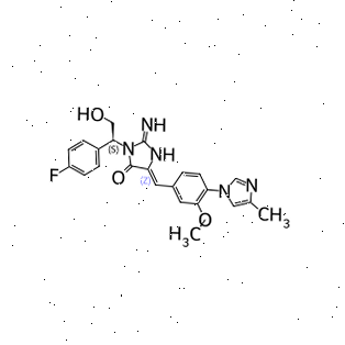 COc1cc(/C=C2\NC(=N)N([C@H](CO)c3ccc(F)cc3)C2=O)ccc1-n1cnc(C)c1